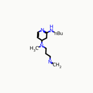 C=NCCCN(C)C1C=CN=C(NCCCC)C1